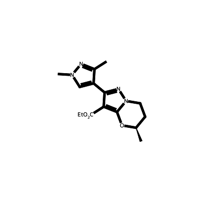 CCOC(=O)c1c(-c2cn(C)nc2C)nn2c1O[C@H](C)CC2